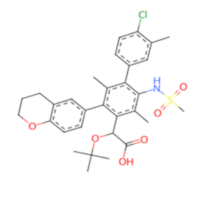 Cc1cc(-c2c(C)c(-c3ccc4c(c3)CCCO4)c(C(OC(C)(C)C)C(=O)O)c(C)c2NS(C)(=O)=O)ccc1Cl